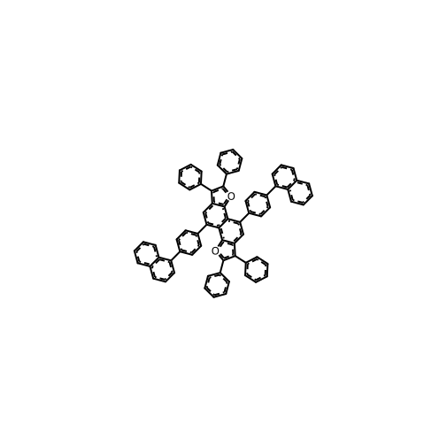 c1ccc(-c2oc3c(cc(-c4ccc(-c5cccc6ccccc56)cc4)c4c5oc(-c6ccccc6)c(-c6ccccc6)c5cc(-c5ccc(-c6cccc7ccccc67)cc5)c34)c2-c2ccccc2)cc1